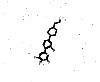 CCCC1CCC(c2ccc(-c3cc(F)c(F)c(F)c3)c(F)c2)CC1